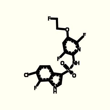 O=S(=O)(Nc1nc(F)c(OCCF)cc1F)c1c[nH]c2c(F)c(Cl)ccc12